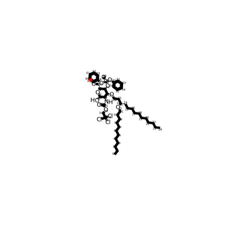 CCCCCCCCCCCCO[C@@H](CCCCCCCCCCC)CCO[C@@H]1[C@H](NC(=O)OCC(Cl)(Cl)Cl)[C@@H](O)O[C@H](COC)[C@H]1OP(=O)(Oc1ccccc1)Oc1ccccc1